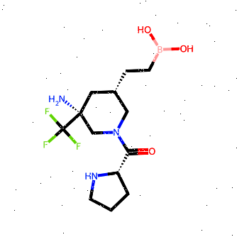 N[C@]1(C(F)(F)F)C[C@H](CCB(O)O)CN(C(=O)[C@@H]2CCCN2)C1